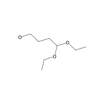 CCOC(CCC[O])OCC